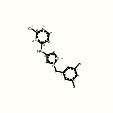 Cc1cc(C)cc(Cn2cc(Nc3ccnc(Cl)n3)cn2)c1